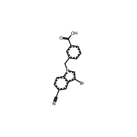 N#Cc1ccc2c(c1)c(Br)cn2Cc1cccc(C(=O)O)c1